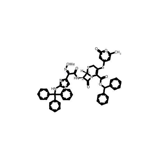 CO/N=C(\C(=O)N[C@@H]1C(=O)N2C(C(=O)OC(c3ccccc3)c3ccccc3)=C(Sc3cc(C)oc(=O)c3)CS[C@@H]12)c1csc(NC(c2ccccc2)(c2ccccc2)c2ccccc2)n1